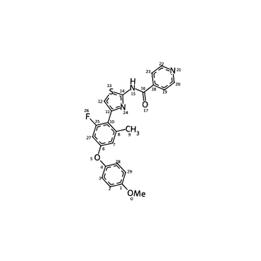 COc1ccc(Oc2cc(C)c(-c3csc(NC(=O)c4ccncc4)n3)c(F)c2)cc1